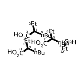 CCCCC(CC)C(=O)O.CCCCC(CC)C(=O)O.CCCCC(CC)C(=O)O.C[CH2][SnH]